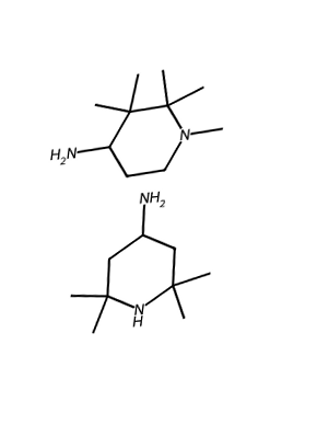 CC1(C)CC(N)CC(C)(C)N1.CN1CCC(N)C(C)(C)C1(C)C